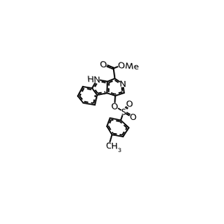 COC(=O)c1ncc(OS(=O)(=O)c2ccc(C)cc2)c2c1[nH]c1ccccc12